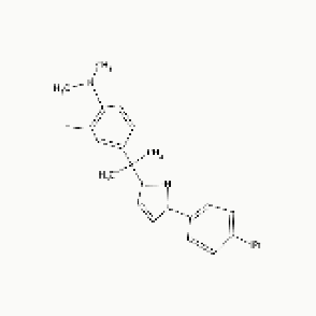 CC(C)c1ccc(-n2ccc(C(C)(C)c3ccc(N(C)C)c(F)c3)n2)cc1